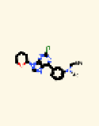 CC(=O)N(CC(C)C)c1cccc(-c2nc(Cl)nc3c2ncn3C2CCCCO2)c1